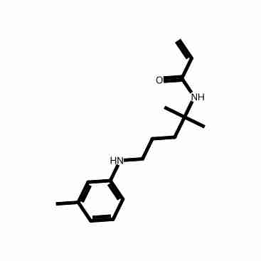 C=CC(=O)NC(C)(C)CCCNc1cccc(C)c1